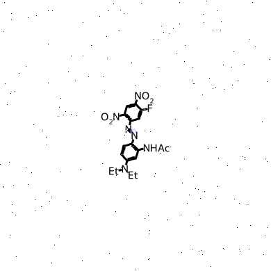 CCN(CC)c1ccc(/N=N/c2cc(F)c([N+](=O)[O-])cc2[N+](=O)[O-])c(NC(C)=O)c1